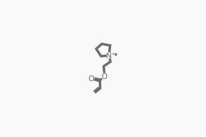 C=CC(=O)OCC[N+]1(C)CCCC1